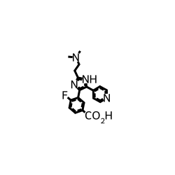 CN(C)CCc1nc(-c2cc(C(=O)O)ccc2F)c(-c2ccncc2)[nH]1